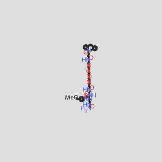 COCc1ccc(NC(=O)[C@H](CCCNC(N)=O)NC(=O)CNC(=O)CCOCCOCCOCCOCCNC(=O)CCC(=O)N2Cc3ccccc3C#Cc3ccccc32)cc1